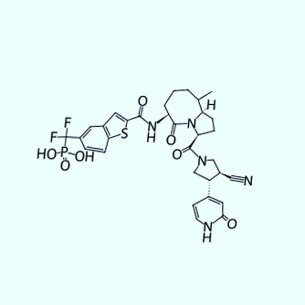 CC1CCC[C@H](NC(=O)c2cc3cc(C(F)(F)P(=O)(O)O)ccc3s2)C(=O)N2[C@@H]1CC[C@H]2C(=O)N1C[C@@H](C#N)[C@H](c2cc[nH]c(=O)c2)C1